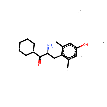 Cc1cc(O)cc(C)c1C[C@H](N)C(=O)C1CCCCC1